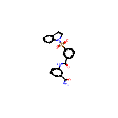 NC(=O)c1cccc(NC(=O)c2cccc(S(=O)(=O)N3CCc4ccccc43)c2)c1